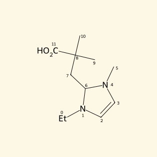 CCN1C=CN(C)C1CC(C)(C)C(=O)O